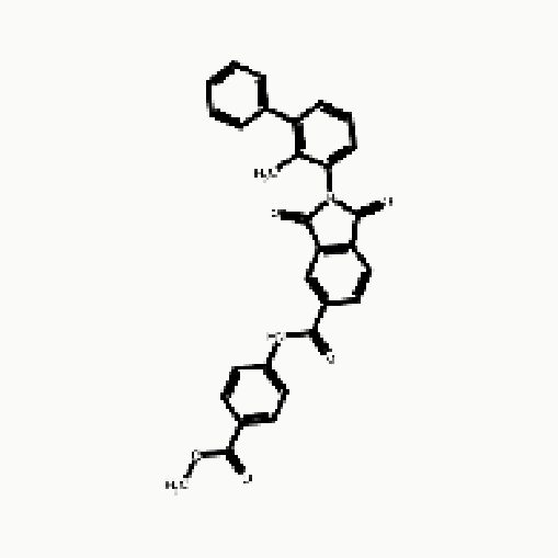 COC(=O)c1ccc(NC(=O)c2ccc3c(c2)C(=O)N(c2cccc(-c4ccccc4)c2C)C3=O)cc1